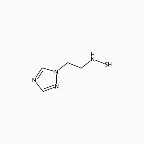 SNCCn1cncn1